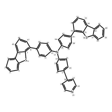 c1ccc2c(c1)sc1c(-c3ccc(N(c4ccc(-c5ccncc5)cc4)c4ccc(-c5cccc6c5sc5ccccc56)cc4)cc3)cccc12